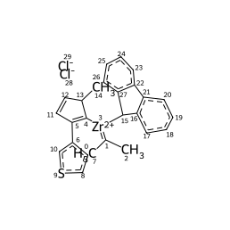 C[C](C)=[Zr+2]([C]1=C(c2ccsc2)C=CC1C)[CH]1c2ccccc2-c2ccccc21.[Cl-].[Cl-]